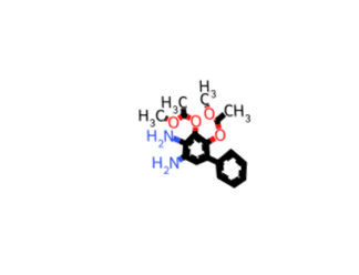 COC(C)Oc1c(-c2ccccc2)cc(N)c(N)c1OC(C)OC